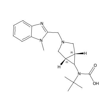 Cn1c(CN2C[C@@H]3C(N(C(=O)O)C(C)(C)C)[C@@H]3C2)nc2ccccc21